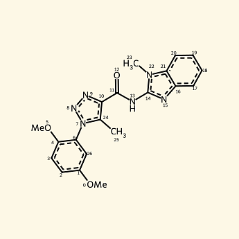 COc1ccc(OC)c(-n2nnc(C(=O)Nc3nc4ccccc4n3C)c2C)c1